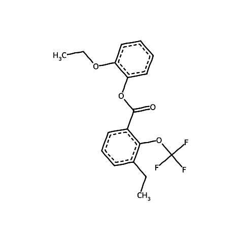 CCOc1ccccc1OC(=O)c1cccc(CC)c1OC(F)(F)F